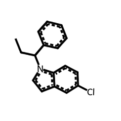 CCC(c1ccccc1)n1ccc2cc(Cl)ccc21